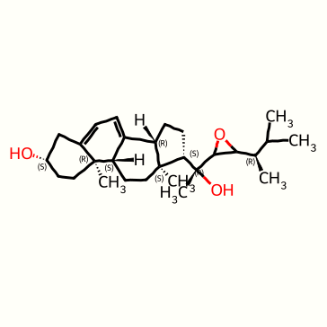 CC(C)[C@@H](C)C1OC1[C@](C)(O)[C@H]1CC[C@H]2C3=CC=C4C[C@@H](O)CC[C@]4(C)[C@H]3CC[C@@]21C